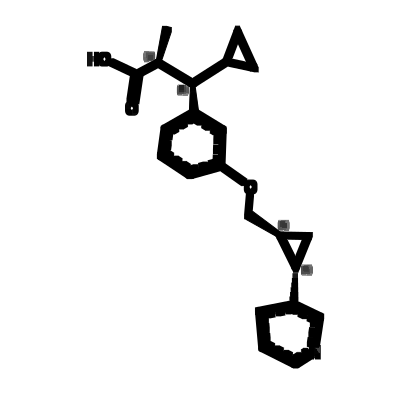 C[C@H](C(=O)O)[C@H](c1cccc(OC[C@H]2C[C@@H]2c2cccnc2)c1)C1CC1